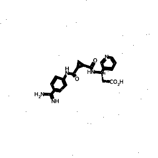 N=C(N)c1ccc(NC(=O)C2CC2C(=O)N[C@H](CC(=O)O)c2cccnc2)cc1